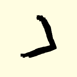 N.N.N.N.N.N.N.N.N.N.N.N.N.N.N.N.N.N.N.N.N.N.N.N.N.N.N.N.N.N.N.N.N.N.N.N.N.N.N.N.N.N.N.N.N.N.N.N.N.N.N.N.N.N.N.N.N.N.N.N.N.N.N.N.N.N.N.N.N.N.N.N.N.N.N.N.N.N.N.N.N.N.N.N.N.N.N.N.N.N.N.N.N.N.N.O.O.O.O.O